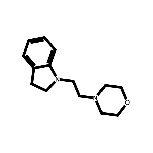 c1ccc2c(c1)CCN2CCN1CCOCC1